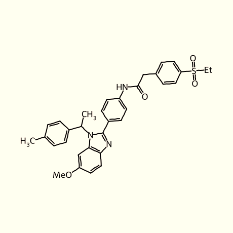 CCS(=O)(=O)c1ccc(CC(=O)Nc2ccc(-c3nc4ccc(OC)cc4n3C(C)c3ccc(C)cc3)cc2)cc1